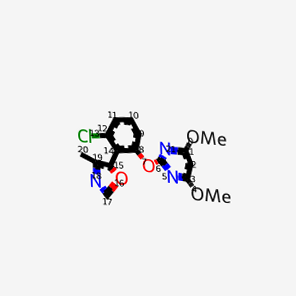 COc1cc(OC)nc(Oc2cccc(Cl)c2-c2ocnc2C)n1